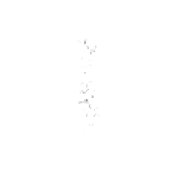 C=Cc1ccc(-c2ccc(C3CCC(/C=C/C4C=C(F)C(OC)CC4)CC3)c(F)c2F)cc1